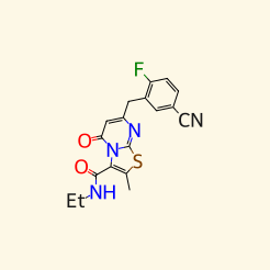 CCNC(=O)c1c(C)sc2nc(Cc3cc(C#N)ccc3F)cc(=O)n12